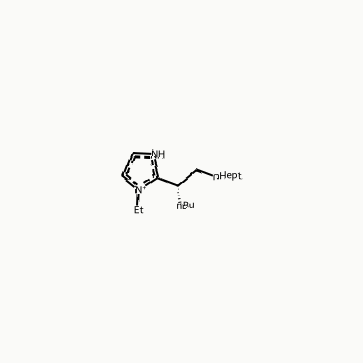 CCCCCCCC[C@H](CCCC)c1[nH]cc[n+]1CC